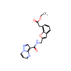 O=C(Cc1cccc2cc(CNC(=O)c3cnn4cccnc34)oc12)OCC(F)(F)F